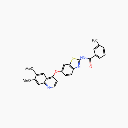 COc1cc2nccc(Oc3ccc4nc(NC(=O)c5cccc(C(F)(F)F)c5)sc4c3)c2cc1OC